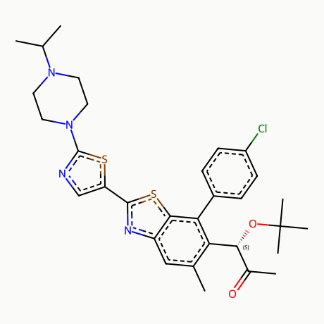 CC(=O)[C@@H](OC(C)(C)C)c1c(C)cc2nc(-c3cnc(N4CCN(C(C)C)CC4)s3)sc2c1-c1ccc(Cl)cc1